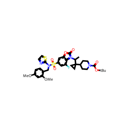 COc1ccc(CN(c2nccs2)S(=O)(=O)c2cc(F)c3c(c2)oc(=O)n3C(C)C2(C3CCN(C(=O)OC(C)(C)C)CC3)CC2)c(OC)c1